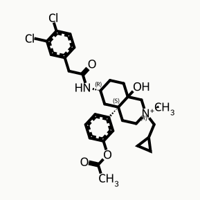 CC(=O)Oc1cccc([C@@]23CC[N@+](C)(CC4CC4)CC2(O)CC[C@@H](NC(=O)Cc2ccc(Cl)c(Cl)c2)C3)c1